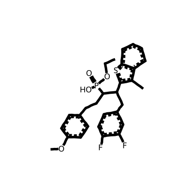 CCOP(=O)(O)C(CCc1ccc(OC)cc1)C(Cc1ccc(F)c(F)c1)c1sc2ccccc2c1C